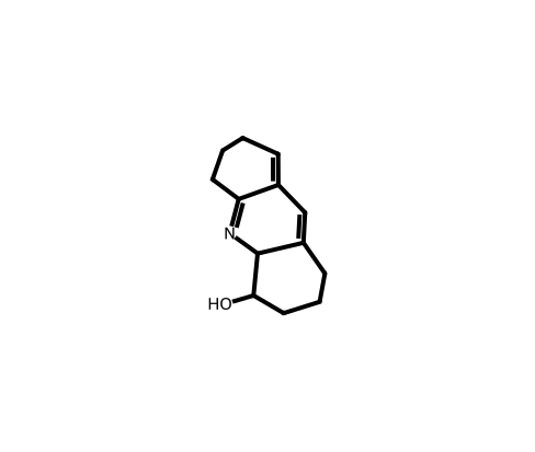 OC1CCCC2=CC3=CCCCC3=NC21